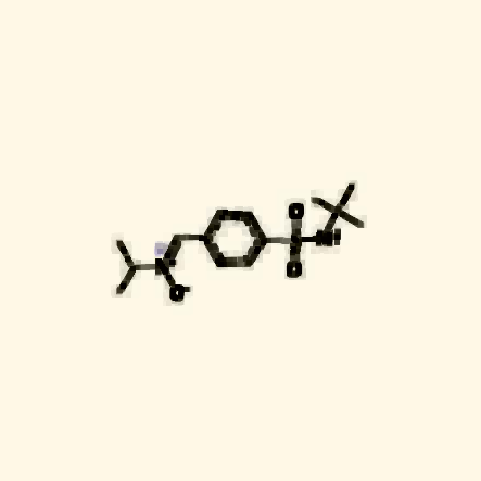 CC(C)/[N+]([O-])=C/c1ccc(S(=O)(=O)NC(C)(C)C)cc1